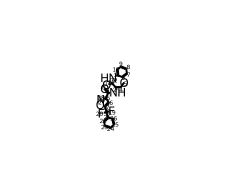 O=C(N[C@H]1COc2ccccc2NC1=O)c1cc(C(F)(F)c2ccccc2)on1